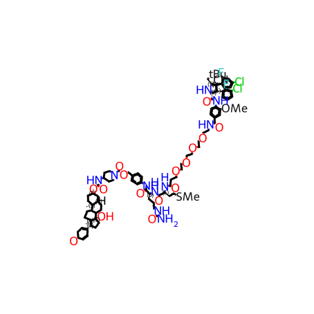 COc1cc(C(=O)NCCOCCOCCOCCOCCC(=O)N[C@@H](CCSC)C(=O)N[C@@H](CCCNC(N)=O)C(=O)Nc2ccc(COC(=O)N3CCC(NC(=O)O[C@H]4CC[C@]5(C)C6CC[C@]7(C)[C@@H](C8=CCC(=O)C=C8)CC[C@]7(O)C6CC[C@@H]5C4)CC3)cc2)ccc1NC(=O)[C@@H]1N[C@@H](CC(C)(C)C)[C@](C#N)(c2ccc(Cl)cc2F)[C@H]1c1cccc(Cl)c1F